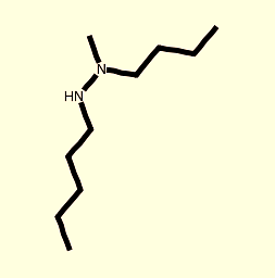 CCCCCNN(C)CCCC